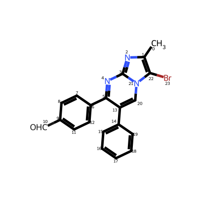 Cc1nc2nc(-c3ccc(C=O)cc3)c(-c3ccccc3)cn2c1Br